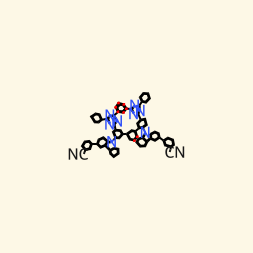 N#Cc1cccc(-c2ccc3c(c2)c2ccccc2n3-c2cc(-c3cccc(-c4cc(-c5nc(-c6ccccc6)nc(-c6ccccc6)n5)ccc4-n4c5ccccc5c5cc(-c6cccc(C#N)c6)ccc54)c3)cc(-c3nc(-c4ccccc4)nc(-c4ccccc4)n3)c2)c1